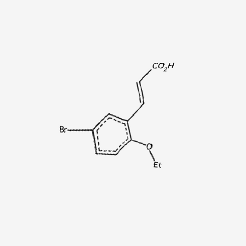 CCOc1ccc(Br)cc1C=CC(=O)O